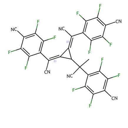 CC(C#N)(c1c(F)c(F)c(C#N)c(F)c1F)C1C(=C(/C#N)c2c(F)c(F)c(C#N)c(F)c2F)/C1=C(/C#N)c1c(F)c(F)c(C#N)c(F)c1F